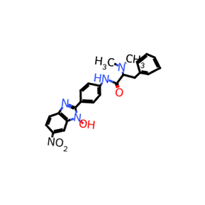 CN(C)C(Cc1ccccc1)C(=O)Nc1ccc(-c2nc3ccc([N+](=O)[O-])cc3n2O)cc1